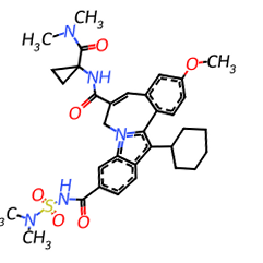 COc1ccc2c(c1)C=C(C(=O)NC1(C(=O)N(C)C)CC1)Cn1c-2c(C2CCCCC2)c2ccc(C(=O)NS(=O)(=O)N(C)C)cc21